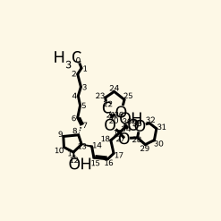 CCCCCC/C=C/[C@H]1CC[C@H](O)[C@@H]1C/C=C\CCC(OC1CCCCO1)(OC1CCCCO1)C(=O)O